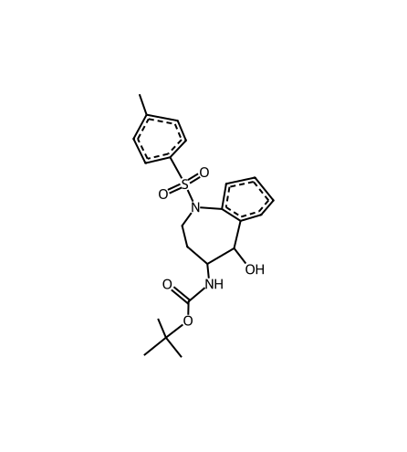 Cc1ccc(S(=O)(=O)N2CCC(NC(=O)OC(C)(C)C)C(O)c3ccccc32)cc1